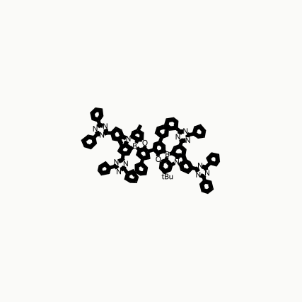 Cc1cc2c3c(c1)-n1c4ccc(-c5nc(-c6ccccc6)nc(-c6ccccc6)n5)cc4c4cc(-c5nc(-c6ccccc6)nc(-c6ccccc6)n5)cc(c41)B3c1cc(-c3ccccc3)cc(-c3cc(-c4ccccc4)cc4c3Oc3cc(C(C)(C)C)cc5c3B4c3cc(-c4nc(-c6ccccc6)nc(-c6ccccc6)n4)cc4c6cc(-c7nc(-c8ccccc8)nc(-c8ccccc8)n7)ccc6n-5c34)c1O2